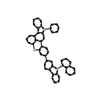 c1ccc(-n2c3ccccc3c3c4cccc5c4c(cc32)-c2ccc(-c3ccc4c6ccccc6n(-c6cccc7ccccc67)c4c3)cc2O5)cc1